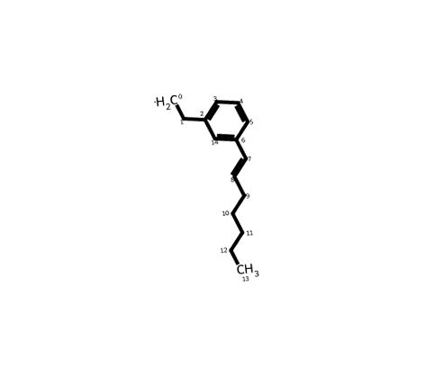 [CH2]Cc1cccc(C=CCCCCC)c1